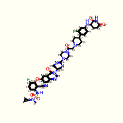 CN(C1CC1)S(=O)(=O)Nc1ccc(F)c(Oc2ccc3ncn(-c4cnc(N5CCN(C(=O)CN6CCC(c7ccc(N[C@H]8CCC(=O)NC8=O)cc7F)CC6)CC5)nc4)c(=O)c3c2)c1C#N